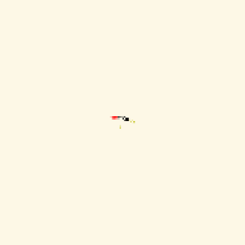 O=C=S.[S]